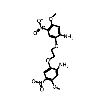 COc1cc(N)c(OCCOc2cc([N+](=O)[O-])c(OC)cc2N)cc1[N+](=O)[O-]